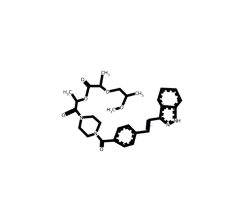 COC(C)COC(C)C(=O)OC(C)C(=O)N1CCN(C(=O)c2ccc(/C=C/c3n[nH]c4ccccc34)cc2)CC1